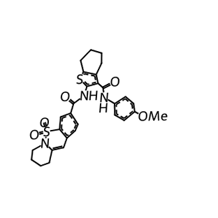 COc1ccc(NC(=O)c2c(NC(=O)c3ccc4c(c3)S(=O)(=O)N3CCCCC3=C4)sc3c2CCCC3)cc1